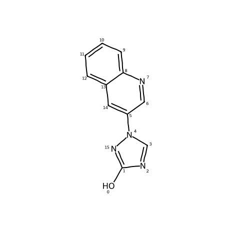 Oc1ncn(-c2cnc3ccccc3c2)n1